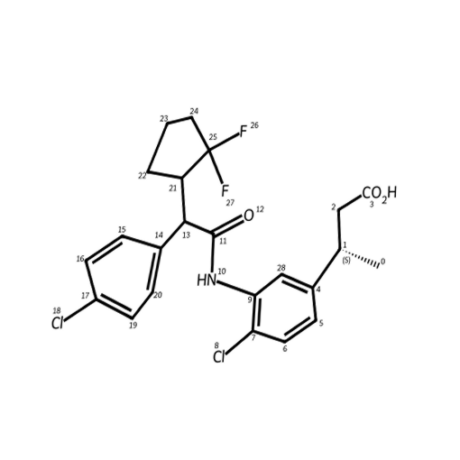 C[C@@H](CC(=O)O)c1ccc(Cl)c(NC(=O)C(c2ccc(Cl)cc2)C2CCCC2(F)F)c1